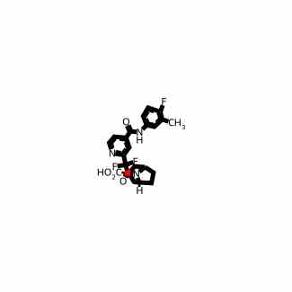 Cc1cc(NC(=O)c2ccnc(C(F)(F)C(=O)N3C4CC[C@@H]3C[C@@H](C(=O)O)C4)c2)ccc1F